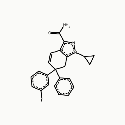 NC(=O)c1nn(C2CC2)c2c1C=CC(c1ccccc1)(c1cccc(F)c1)C2